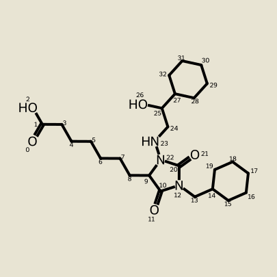 O=C(O)CCCCCCC1C(=O)N(CC2CCCCC2)C(=O)N1NCC(O)C1CCCCC1